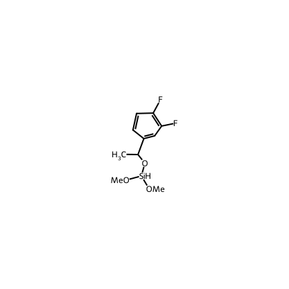 CO[SiH](OC)OC(C)c1ccc(F)c(F)c1